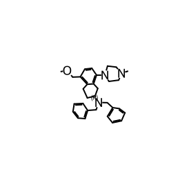 COCc1ccc(N2CCN(C)CC2)c2c1CC[C@@H](N(Cc1ccccc1)Cc1ccccc1)C2